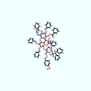 COC(=O)C1O[C@@H](O[C@@H]2C(COCc3ccc(OC)cc3)O[C@@H](O[Si](c3ccccc3)(c3ccccc3)C(C)(C)C)C(N=[N+]=[N-])[C@H]2OC(=O)c2ccccc2)C(OCc2ccccc2)[C@@H](OCc2ccccc2)[C@@H]1O[C@@H]1OC(COC(=O)c2ccccc2)[C@@H](OCc2ccccc2)[C@H](OCc2ccccc2)C1N=[N+]=[N-]